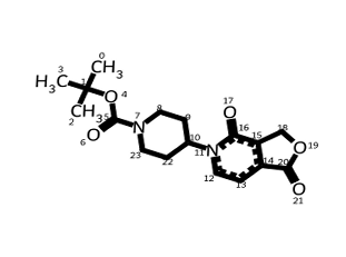 CC(C)(C)OC(=O)N1CCC(n2ccc3c(c2=O)COC3=O)CC1